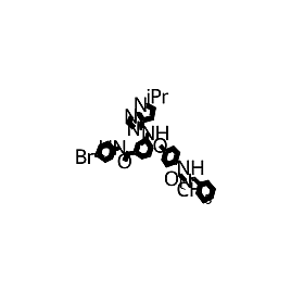 CC(C)c1ccc2c(Nc3cc(C(=O)Nc4ccc(Br)cc4)ccc3Oc3ccc(NC(=O)N(C)Cc4ccccc4)cc3)ncnc2n1